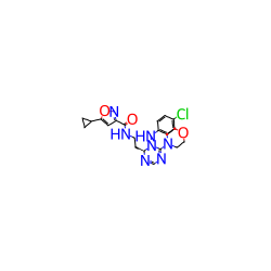 O=C(NCC[C@@H]1N=CN=C(N2CCOCC2)N1Nc1ccc(Cl)cc1)c1cc(C2CC2)on1